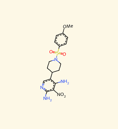 COc1ccc(S(=O)(=O)N2CCC(c3cnc(N)c([N+](=O)[O-])c3N)CC2)cc1